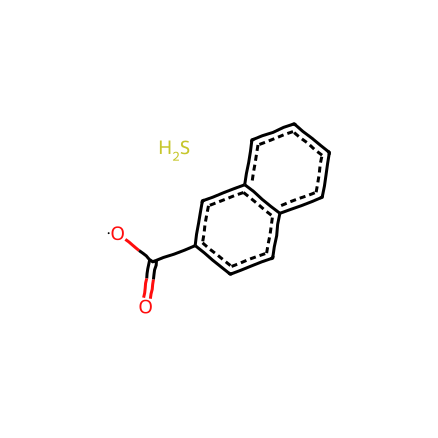 S.[O]C(=O)c1ccc2ccccc2c1